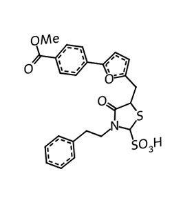 COC(=O)c1ccc(-c2ccc(CC3SC(S(=O)(=O)O)N(CCc4ccccc4)C3=O)o2)cc1